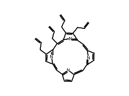 C=CCC1=CC2=CC3=NC(=CC4=NC(=CC5=NC(=C(CC=C)C1=N2)C(CC=C)=C5CC=C)C=C4)C=C3